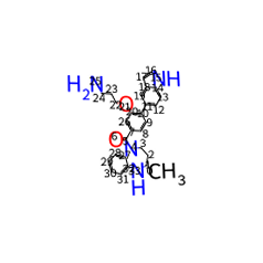 C[C@H]1CCN(C(=O)c2ccc(-c3ccc4[nH]ccc4c3)c(OCCCN)c2)c2ccccc2N1